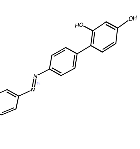 Oc1ccc(-c2ccc(/N=N/c3ccccc3)cc2)c(O)c1